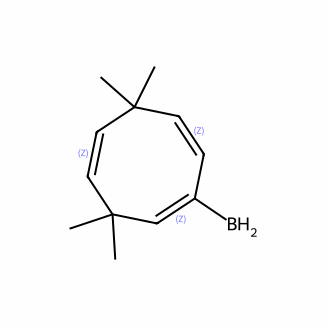 BC1=C/C(C)(C)/C=C\C(C)(C)/C=C\1